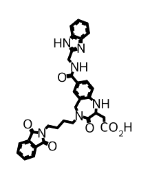 O=C(O)CC1Nc2ccc(C(=O)NCc3nc4ccccc4[nH]3)cc2CN(CCCCN2C(=O)c3ccccc3C2=O)C1=O